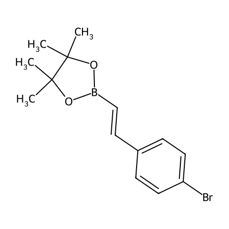 CC1(C)OB(/C=C/c2ccc(Br)cc2)OC1(C)C